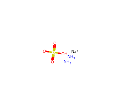 N.N.O=S(=O)([O-])O.[Na+]